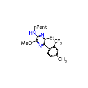 CCCCCNc1nc(CC)c(-c2ccc(C)cc2C(F)(F)F)nc1OC